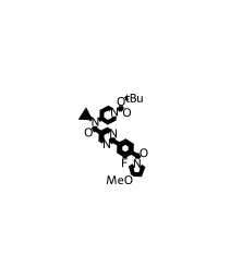 COC1CCN(C(=O)c2ccc(-c3ncc(C(=O)N(C4CC4)C4CCN(C(=O)OC(C)(C)C)CC4)cn3)cc2F)C1